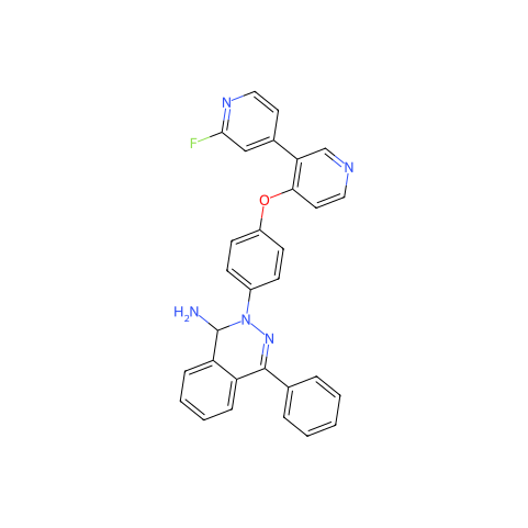 NC1c2ccccc2C(c2ccccc2)=NN1c1ccc(Oc2ccncc2-c2ccnc(F)c2)cc1